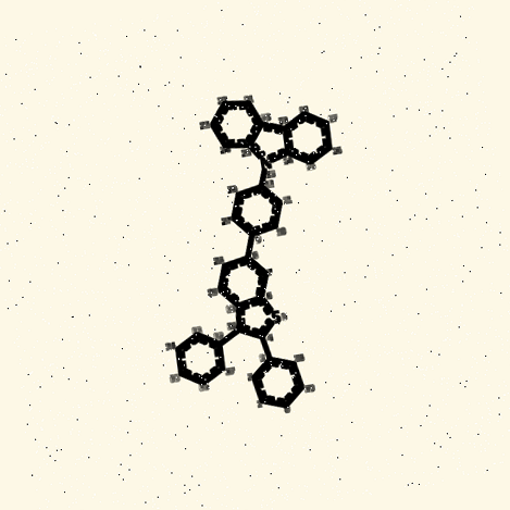 c1ccc(-c2sc3cc(-c4ccc(-n5c6ccccc6c6ccccc65)cc4)ccc3c2-c2ccccc2)cc1